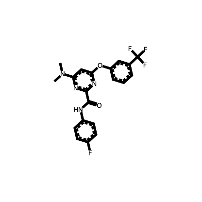 CN(C)c1cc(Oc2cccc(C(F)(F)F)c2)nc(C(=O)Nc2ccc(F)cc2)n1